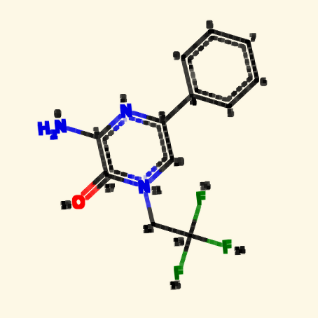 Nc1nc(-c2ccccc2)cn(CC(F)(F)F)c1=O